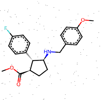 COC(=O)[C@@H]1CC[C@H](NCc2ccc(OC)cc2)[C@H]1c1ccc(F)cc1